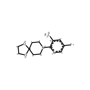 Fc1cnc(N2CCC3(CC2)OCCO3)c(C(F)(F)F)c1